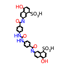 O=C(Nc1ccc(C(=O)N=C2C=CC3=C(O)C=CC(S(=O)(=O)O)C3=C2)cc1)Nc1ccc(C(=O)N=C2C=CC3=C(O)C=CC(S(=O)(=O)O)C3=C2)cc1